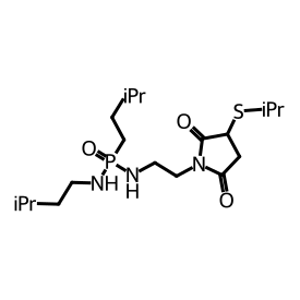 CC(C)CCNP(=O)(CCC(C)C)NCCN1C(=O)CC(SC(C)C)C1=O